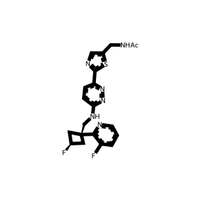 CC(=O)NCc1cnc(-c2ccc(NC[C@]3(c4ncccc4F)C[C@H](F)C3)nn2)s1